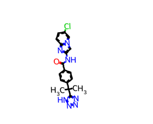 CC(C)(c1ccc(C(=O)Nc2cn3cc(Cl)ccc3n2)cc1)c1nnn[nH]1